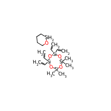 C1CC[SiH2]OC1.C=C[Si]1(C=C)O[Si](C)(C)O[Si](C)(C)O[Si](C=C)(C=C)O1